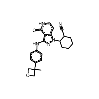 CC1(c2ccc(Nc3nn(C4CCCCC4C#N)c4cc[nH]c(=O)c34)cc2)COC1